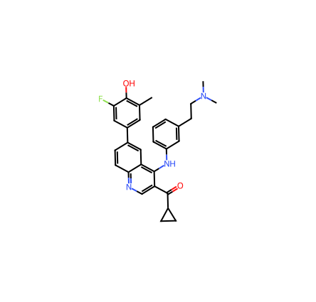 Cc1cc(-c2ccc3ncc(C(=O)C4CC4)c(Nc4cccc(CCN(C)C)c4)c3c2)cc(F)c1O